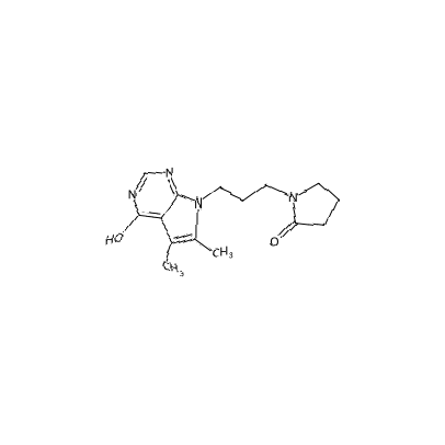 Cc1c(C)n(CCCN2CCCC2=O)c2ncnc(O)c12